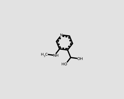 CNc1cnccc1C(O)O